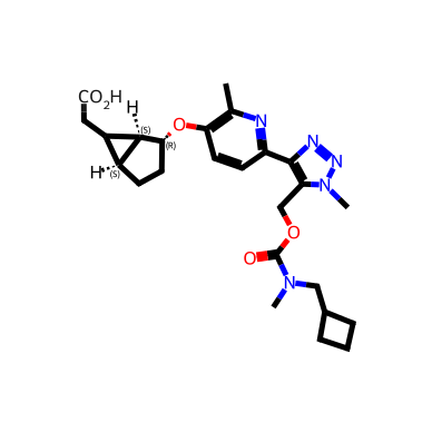 Cc1nc(-c2nnn(C)c2COC(=O)N(C)CC2CCC2)ccc1O[C@@H]1CC[C@H]2C(CC(=O)O)[C@@H]12